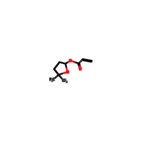 C=CC(=O)OC1CCC(C(F)(F)F)(C(F)(F)F)O1